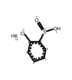 O=S(O)c1ccccc1Cl.[KH]